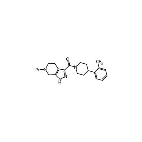 CC(C)N1CCc2c(C(=O)N3CCC(c4ccccc4C(F)(F)F)CC3)n[nH]c2C1